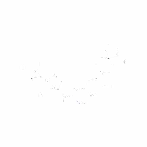 Cc1c(Nc2ncc3cc(Cl)c(N4CCC5(CC4)COCC5O)cc3n2)cnn1C1CC1(C)F